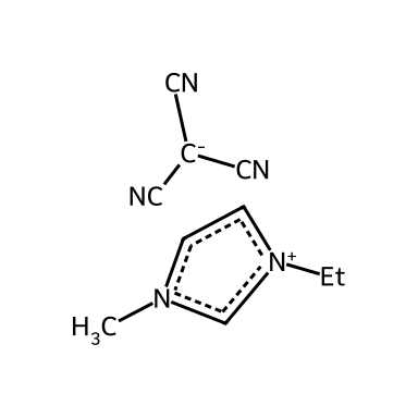 CC[n+]1ccn(C)c1.N#C[C-](C#N)C#N